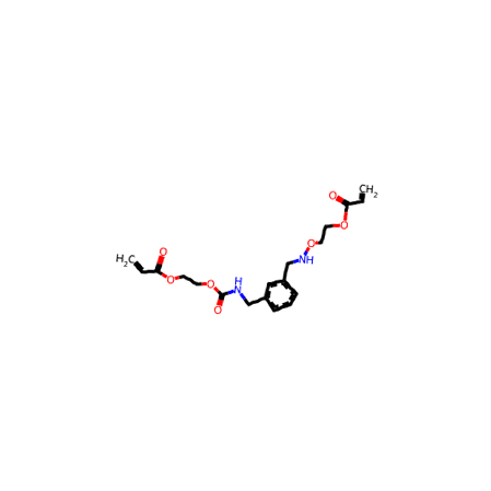 C=CC(=O)OCCONCc1cccc(CNC(=O)OCCOC(=O)C=C)c1